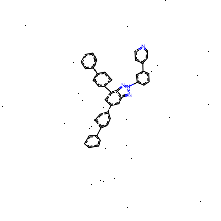 c1ccc(-c2ccc(-c3cc(-c4ccc(-c5ccccc5)cc4)c4nn(-c5cccc(-c6ccncc6)c5)nc4c3)cc2)cc1